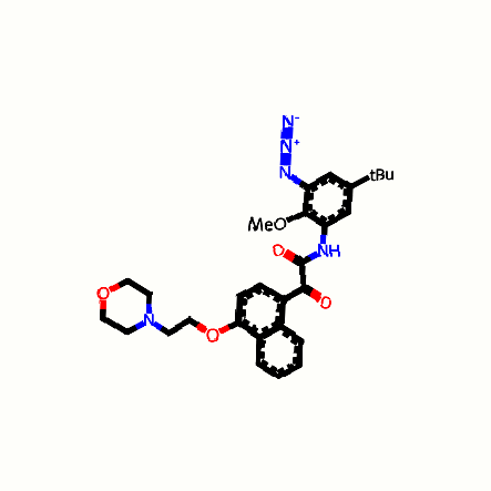 COc1c(N=[N+]=[N-])cc(C(C)(C)C)cc1NC(=O)C(=O)c1ccc(OCCN2CCOCC2)c2ccccc12